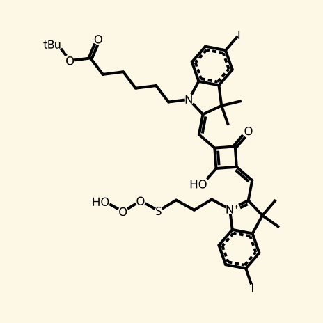 CC(C)(C)OC(=O)CCCCCN1/C(=C/C2=C(O)C(=C\C3=[N+](CCCSOOO)c4ccc(I)cc4C3(C)C)/C2=O)C(C)(C)c2cc(I)ccc21